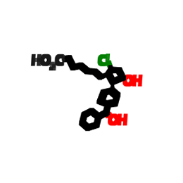 O=C(O)CCCCCC[C@@H]1[C@@H](c2ccc(C(O)C3CCCCC3)cc2)[C@H](O)C[C@@H]1Cl